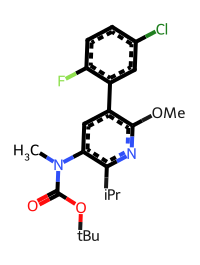 COc1nc(C(C)C)c(N(C)C(=O)OC(C)(C)C)cc1-c1cc(Cl)ccc1F